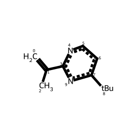 C=C(C)c1nccc(C(C)(C)C)n1